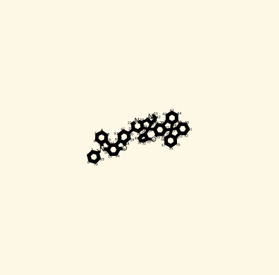 c1ccc(-n2c3ccccc3c3c4c(ccc32)oc2cc(-c3cnc5c(c3)C3(c6ccccc6Oc6cc7c(cc63)-c3ccccc3C73c6ccccc6-c6ccccc63)c3cccnc3-5)ccc24)cc1